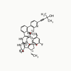 C=C[C@H]1CC(F)(F)c2c1c(C(F)(F)F)nn2CC(=O)N[C@@H](Cc1cc(F)cc(F)c1)c1nc(C#CC(C)(C)O)ccc1-c1cccc2c(NC(=O)NC3CC3)nn(C)c12